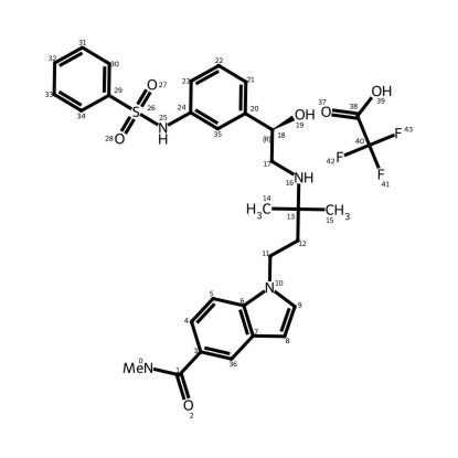 CNC(=O)c1ccc2c(ccn2CCC(C)(C)NC[C@H](O)c2cccc(NS(=O)(=O)c3ccccc3)c2)c1.O=C(O)C(F)(F)F